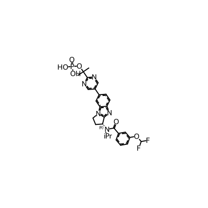 CC(C)N(C(=O)c1cccc(OC(F)F)c1)[C@@H]1CCn2c1nc1ccc(-c3cnc(C(C)(C)OP(=O)(O)O)nc3)cc12